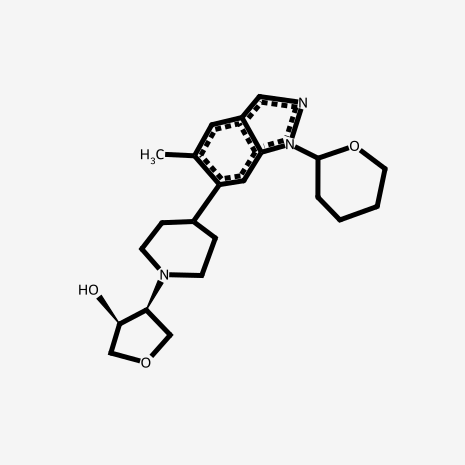 Cc1cc2cnn(C3CCCCO3)c2cc1C1CCN([C@H]2COC[C@H]2O)CC1